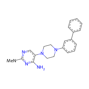 CNc1ncc(N2CCN(c3cccc(-c4ccccc4)c3)CC2)c(N)n1